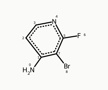 Nc1ccnc(F)c1Br